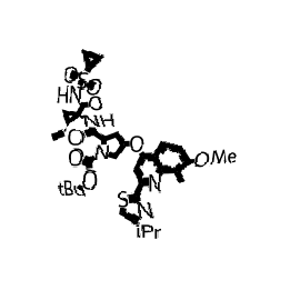 C=C[C@@H]1C[C@]1(NC(=O)C1CC(Oc2cc(-c3nc(C(C)C)cs3)nc3c(C)c(OC)ccc23)CN1C(=O)OC(C)(C)C)C(=O)NS(=O)(=O)C1CC1